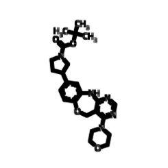 CC(C)(C)OC(=O)N1CCC(c2ccc3c(c2)Nc2ncnc(N4CCOCC4)c2CO3)C1